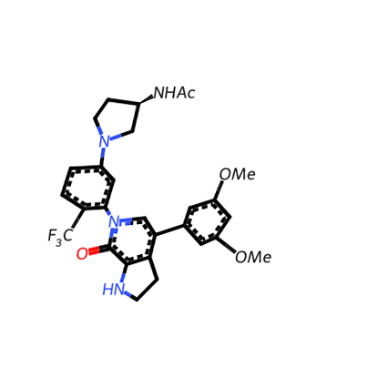 COc1cc(OC)cc(-c2cn(-c3cc(N4CC[C@@H](NC(C)=O)C4)ccc3C(F)(F)F)c(=O)c3c2CCN3)c1